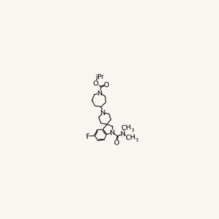 CC(C)OC(=O)N1CCCC(N2CCC3(CC2)CN(C(=O)N(C)C)c2ccc(F)cc23)CC1